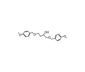 COc1ccc(COCCC(O)COCc2ccc(OC)cc2)cc1